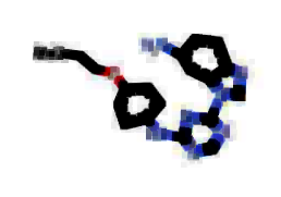 COCCOc1ccc(Nc2ncnc(-n3cnc4ccc(N)cc43)n2)cc1